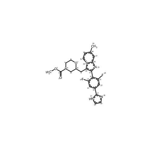 COC(=O)N1CCOC(Cc2c(-c3c(F)cc(-c4ncc[nH]4)cc3F)nc3cc(C)ccn23)C1